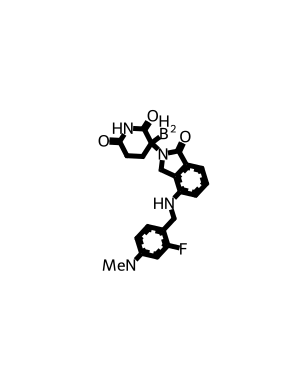 BC1(N2Cc3c(NCc4ccc(NC)cc4F)cccc3C2=O)CCC(=O)NC1=O